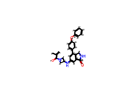 C=C(C)C(=O)N1CC(Nc2cc3c(c(-c4ccc(Oc5ccccc5)cc4)c2)CNC3=O)C1